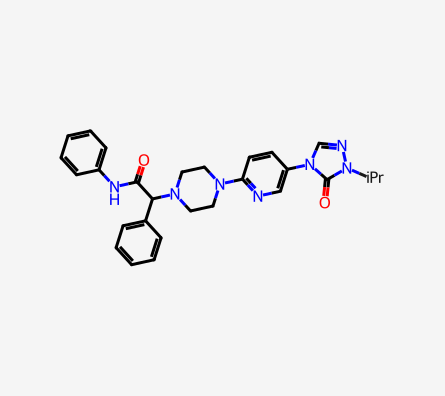 CC(C)n1ncn(-c2ccc(N3CCN(C(C(=O)Nc4ccccc4)c4ccccc4)CC3)nc2)c1=O